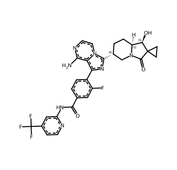 Nc1nccn2c([C@@H]3CC[C@H]4[C@@H](O)C5(CC5)C(=O)N4C3)nc(-c3ccc(C(=O)Nc4cc(C(F)(F)F)ccn4)cc3F)c12